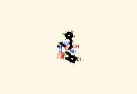 CCc1ccc2c(c1)[C@@H](NC[C@H](O)[C@H](Cc1cc(F)cc(F)c1)NC(=O)C1CSCN1)CS(O)(O)C2